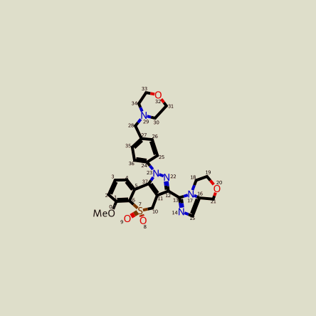 COc1cccc2c1S(=O)(=O)Cc1c(-c3ncc4n3CCOC4)nn(-c3ccc(CN4CCOCC4)cc3)c1-2